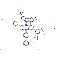 Cc1c(-c2cc(C(C)(C)C)cc(C(C)(C)C)c2)cc2c3c1-c1cc(C(C)(C)C)cc4c5cc(C(C)(C)C)ccc5n(c14)B3c1cc(-c3ccccc3)ccc1N2c1ccc(-c2ccccc2)cc1